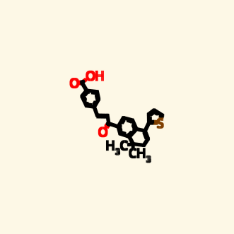 CC1(C)CC=C(c2cccs2)c2ccc(C(=O)C=Cc3ccc(C(=O)O)cc3)cc21